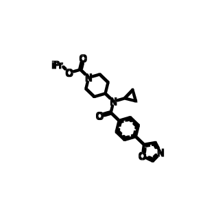 CC(C)OC(=O)N1CCC(N(C(=O)c2ccc(-c3cnco3)cc2)C2CC2)CC1